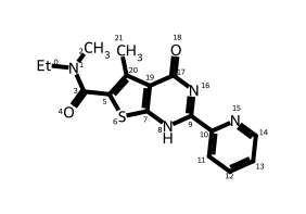 CCN(C)C(=O)c1sc2[nH]c(-c3ccccn3)nc(=O)c2c1C